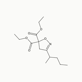 CCCC(C)C1=NOC(C(=O)OCC)(C(=O)OCC)C1